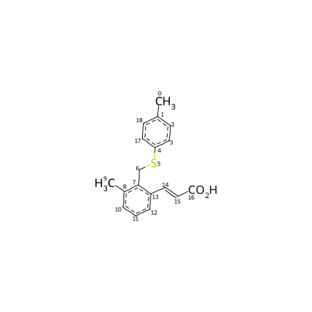 Cc1ccc(SCc2c(C)cccc2/C=C/C(=O)O)cc1